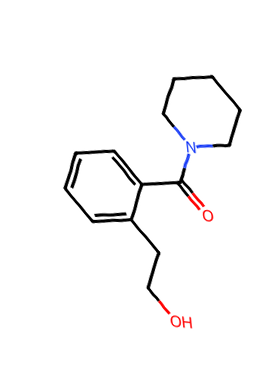 O=C(c1ccccc1CCO)N1CCCCC1